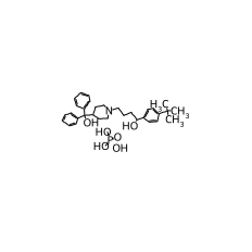 CC(C)(C)c1ccc([C@H](O)CCCN2CCC(C(O)(c3ccccc3)c3ccccc3)CC2)cc1.O=P(O)(O)O